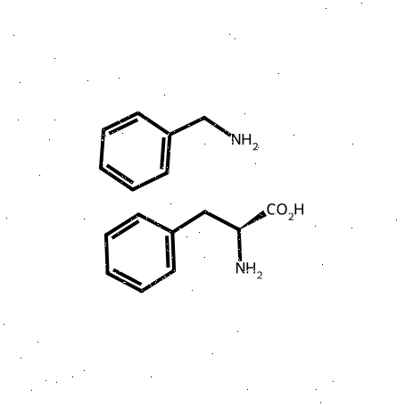 NCc1ccccc1.N[C@@H](Cc1ccccc1)C(=O)O